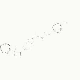 COc1ccc(CNC(=O)NC2CC3(C2)CN(C(=O)C(C)(C)c2ccccc2)C3)cc1